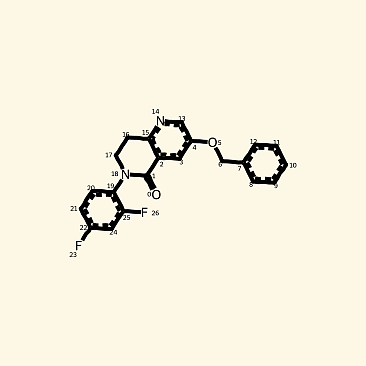 O=C1c2cc(OCc3ccccc3)cnc2CCN1c1ccc(F)cc1F